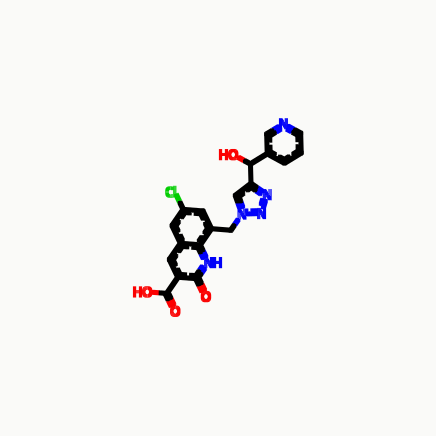 O=C(O)c1cc2cc(Cl)cc(Cn3cc(C(O)c4cccnc4)nn3)c2[nH]c1=O